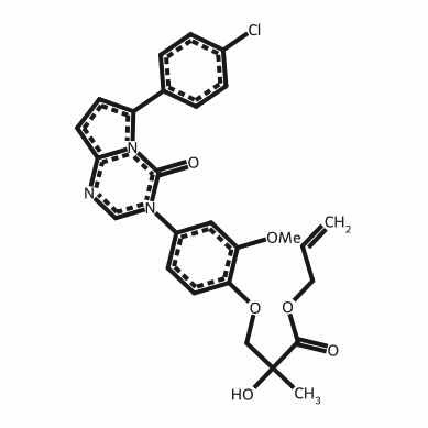 C=CCOC(=O)C(C)(O)COc1ccc(-n2cnc3ccc(-c4ccc(Cl)cc4)n3c2=O)cc1OC